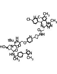 Cc1ncsc1-c1ccc([C@H](C)NC(=O)C2C[C@@H](O)CN2C(=O)[C@@H](NC(=O)COc2ccc(C3CC(NC(=O)C[C@@H]4N=C(c5ccc(Cl)cc5)c5c(sc(C)c5C)-n5c(C)nnc54)C3)nc2)C(C)(C)C)cc1